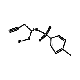 C#CCC(NS(=O)(=O)c1ccc(C)cc1)SC(C)C